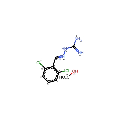 N=C(N)N/N=C/c1c(Cl)cccc1Cl.O=C(O)O